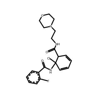 O=C(NC1(Cl)C=CC=CC1C(=O)NCCN1CCOCC1)c1ccccc1F